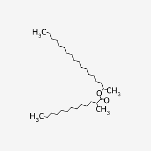 CCCCCCCCCCCCCCCCC(C)OC(=O)C(C)CCCCCCCCCCC